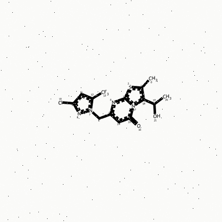 Cc1sc2nc(Cn3nc(Cl)cc3C(F)(F)F)cc(=O)n2c1C(C)O